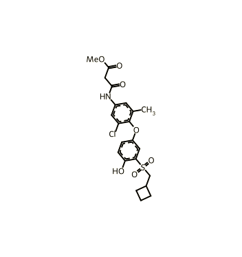 COC(=O)CC(=O)Nc1cc(C)c(Oc2ccc(O)c(S(=O)(=O)CC3CCC3)c2)c(Cl)c1